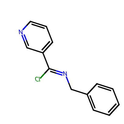 ClC(=NCc1ccccc1)c1cccnc1